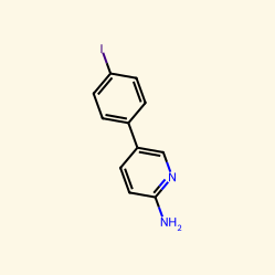 Nc1ccc(-c2ccc(I)cc2)cn1